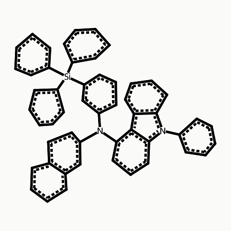 c1ccc(-n2c3ccccc3c3c(N(c4cccc([Si](c5ccccc5)(c5ccccc5)c5ccccc5)c4)c4ccc5ccccc5c4)cccc32)cc1